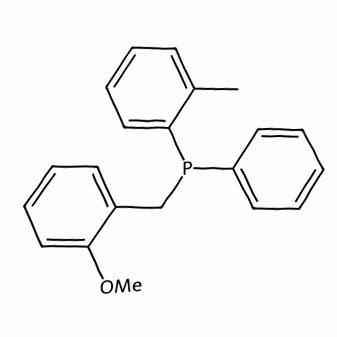 COc1ccccc1CP(c1ccccc1)c1ccccc1C